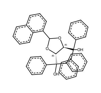 OC(c1ccccc1)(c1ccccc1)[C@@H]1OC(c2cccc3ccccc23)O[C@H]1C(O)(c1ccccc1)c1ccccc1